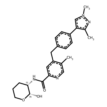 Cc1cnc(C(=O)N[C@H]2CCCO[C@H]2O)cc1Cc1ccc(-c2cn(C)nc2C)cc1